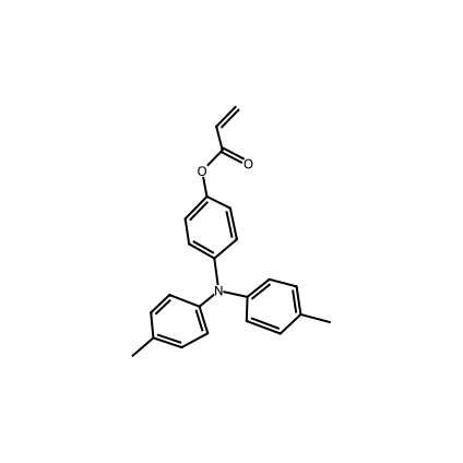 C=CC(=O)Oc1ccc(N(c2ccc(C)cc2)c2ccc(C)cc2)cc1